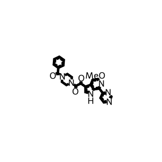 COc1cnc(-c2ccncn2)c2[nH]cc(C(=O)C(=O)N3CCN(C(=O)c4ccccc4)CC3)c12